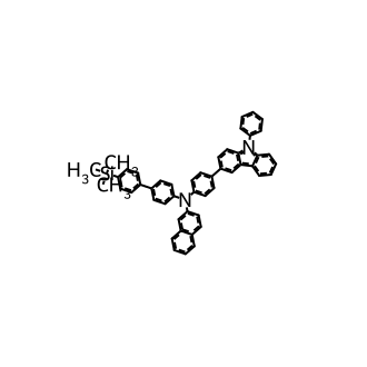 C[Si](C)(C)c1ccc(-c2ccc(N(c3ccc(-c4ccc5c(c4)c4ccccc4n5-c4ccccc4)cc3)c3ccc4ccccc4c3)cc2)cc1